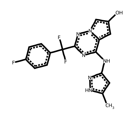 Cc1cc(Nc2nc(C(F)(F)c3ccc(F)cc3)nn3cc(O)cc23)n[nH]1